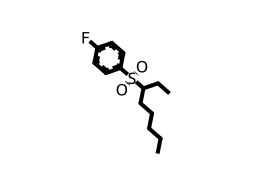 CCCCCC(CC)S(=O)(=O)c1ccc(F)cc1